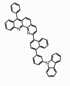 c1ccc(-c2c3ccccc3nc3c2ccc2ccc(-c4ccc(-c5cccc(-n6c7ccccc7c7ccccc76)c5)c5ccccc45)nc23)cc1